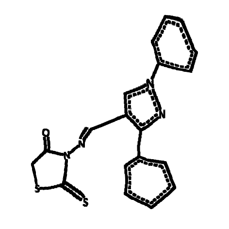 O=C1CSC(=S)N1/N=C/c1cn(-c2ccccc2)nc1-c1ccccc1